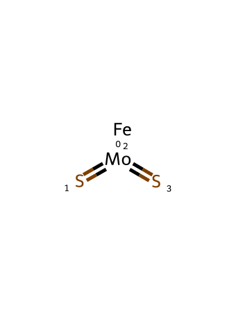 [Fe].[S]=[Mo]=[S]